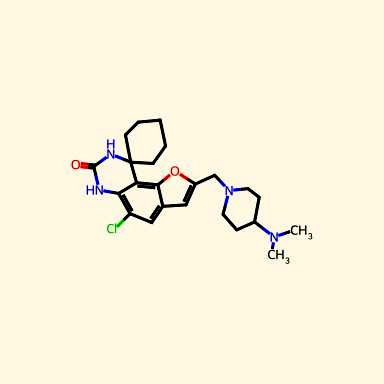 CN(C)C1CCN(Cc2cc3cc(Cl)c4c(c3o2)C2(CCCCC2)NC(=O)N4)CC1